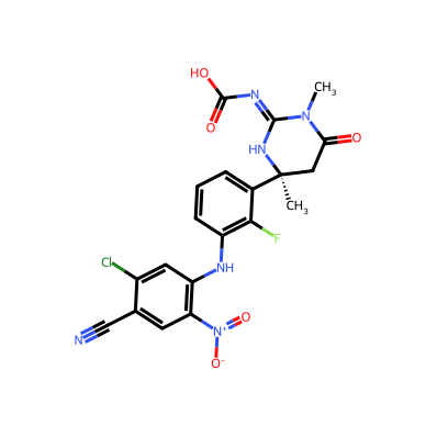 CN1C(=O)C[C@@](C)(c2cccc(Nc3cc(Cl)c(C#N)cc3[N+](=O)[O-])c2F)N/C1=N\C(=O)O